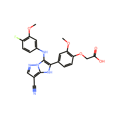 COc1cc(Nc2c(-c3ccc(OCC(=O)O)c(OC)c3)[nH]c3c(C#N)cnn23)ccc1F